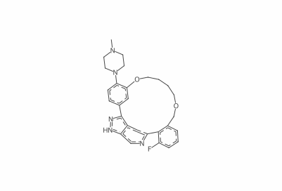 CN1CCN(c2ccc3cc2OCCCCOCc2cccc(F)c2-c2cc4c-3n[nH]c4cn2)CC1